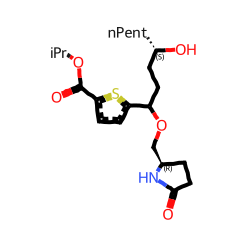 CCCCC[C@H](O)CCC(OC[C@H]1CCC(=O)N1)c1ccc(C(=O)OC(C)C)s1